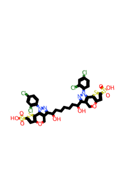 O=S(=O)(O)c1cc2c(s1)-c1c(c(C(O)CCCCCC(O)c3nn(-c4ccc(Cl)cc4Cl)c4c3COc3cc(S(=O)(=O)O)sc3-4)nn1-c1ccc(Cl)cc1Cl)CO2